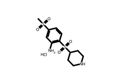 CS(=O)(=O)c1ccc(S(=O)(=O)C2CCNCC2)c(N)c1.Cl